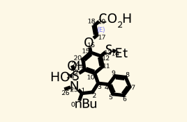 CCCCC1CC(c2ccccc2)c2cc(SCC)c(O/C=C/C(=O)O)cc2S(O)(O)N1C